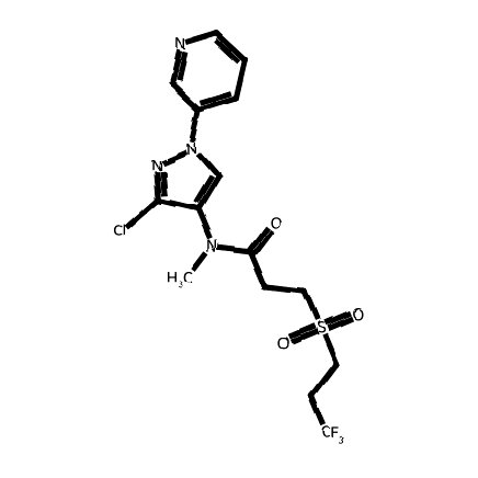 CN(C(=O)CCS(=O)(=O)CCC(F)(F)F)c1cn(-c2cccnc2)nc1Cl